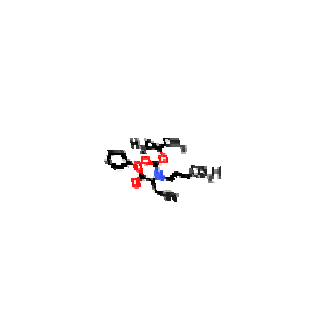 C=C(C)OC(=O)N(CCCC(=O)O)[C@@H](CC(C)C)C(=O)OC1CCCC1